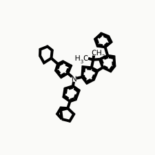 CC1(C)c2cc(N(c3ccc(C4CCCCC4)cc3)c3ccc(C45CCC(CC4)C5)cc3)ccc2-c2cccc(-c3ccccc3)c21